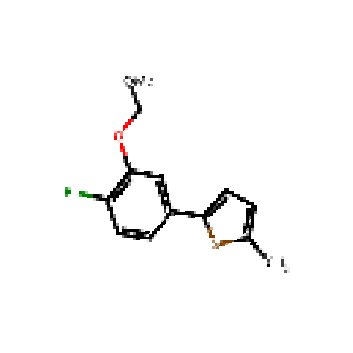 COCOc1cc(-c2ccc(C)s2)ccc1Br